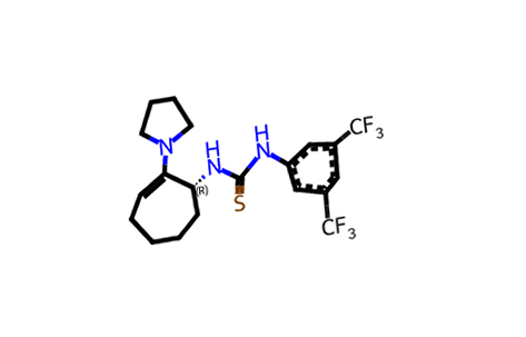 FC(F)(F)c1cc(NC(=S)N[C@@H]2CCCCC=C2N2CCCC2)cc(C(F)(F)F)c1